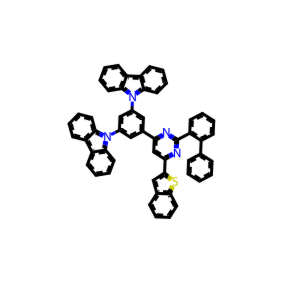 c1ccc(-c2ccccc2-c2nc(-c3cc(-n4c5ccccc5c5ccccc54)cc(-n4c5ccccc5c5ccccc54)c3)cc(-c3cc4ccccc4s3)n2)cc1